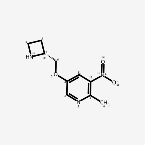 Cc1ncc(OC[C@H]2CCN2)cc1[N+](=O)[O-]